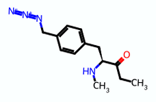 CCC(=O)[C@H](Cc1ccc(CN=[N+]=[N-])cc1)NC